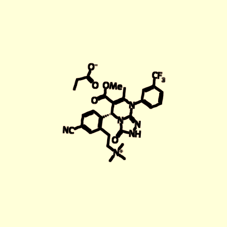 CCC(=O)[O-].COC(=O)C1=C(C)N(c2cccc(C(F)(F)F)c2)c2n[nH]c(=O)n2[C@@H]1c1ccc(C#N)cc1CC[N+](C)(C)C